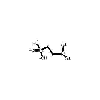 CCN(CC)CCP(=O)(O)O